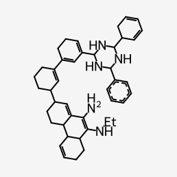 CCNC1=C(N)C2=CC(C3C=C(C4=CC(C5NC(c6ccccc6)NC(C6C=CC=CC6)N5)=CCC4)CCC3)CCC2C2C=CCCC12